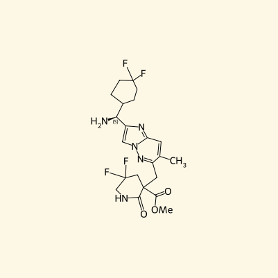 COC(=O)C1(Cc2nn3cc([C@@H](N)C4CCC(F)(F)CC4)nc3cc2C)CC(F)(F)CNC1=O